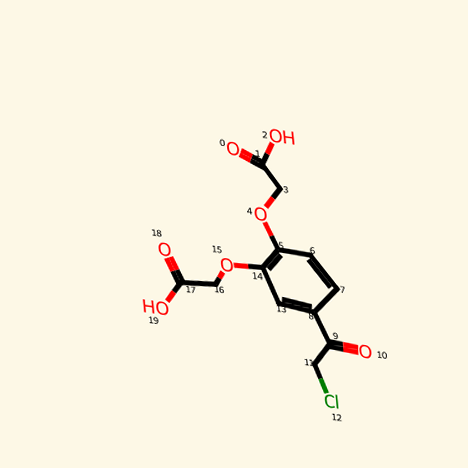 O=C(O)COc1ccc(C(=O)CCl)cc1OCC(=O)O